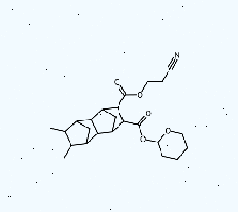 CC1C(C)C2CC1C1C3CC(C(C(=O)OC4CCCCO4)C3C(=O)OCCC#N)C21